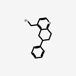 CC(C)Cc1ccnc2c1CC(c1ccccc1)CC2